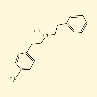 Cl.O=[N+]([O-])c1ccc(CCNCCc2ccccc2)cc1